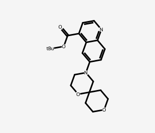 CC(C)(C)OC(=O)c1ccnc2ccc(N3CCOC4(CCOCC4)C3)cc12